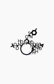 Cc1ccc2nc(O[C@@H]3C[C@H]4C(=O)N[C@]5(C(=O)NS(=O)(=O)C6(C)CC6)C[C@H]5/C=C\CCCCC[C@H](NC(=O)OC(C)(C)C)C(=O)N4C3)sc2c1